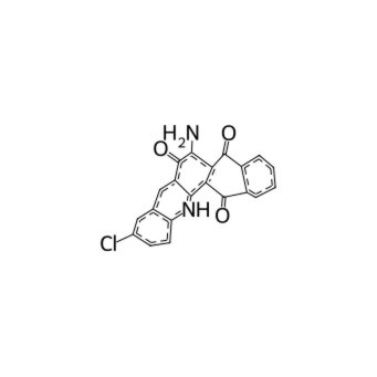 Nc1c2c(c3[nH]c4ccc(Cl)cc4cc-3c1=O)C(=O)c1ccccc1C2=O